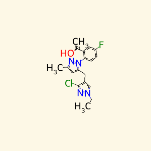 CCn1cc(Cc2cc(C)nn2-c2ccc(F)cc2[C@@H](C)O)c(Cl)n1